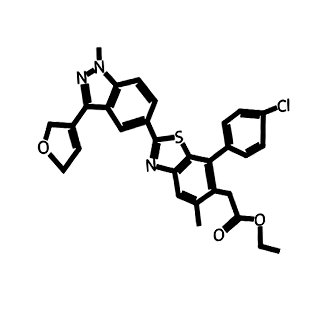 CCOC(=O)Cc1c(C)cc2nc(-c3ccc4c(c3)c(C3=CCOC3)nn4C)sc2c1-c1ccc(Cl)cc1